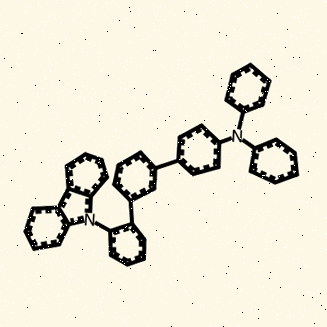 c1ccc(N(c2ccccc2)c2ccc(-c3cccc(-c4ccccc4-n4c5ccccc5c5ccccc54)c3)cc2)cc1